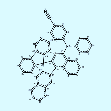 N#Cc1ccc(N(c2ccccc2)c2cc3c(c4ccccc24)-c2cc4ccccc4cc2C32c3ccccc3-c3ccccc32)cc1